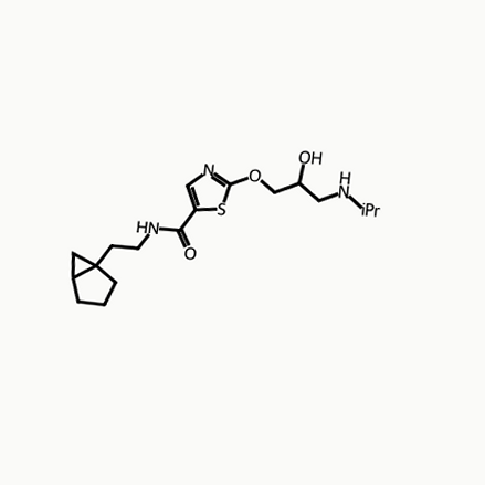 CC(C)NCC(O)COc1ncc(C(=O)NCCC23CCCC2C3)s1